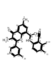 Cc1cc([C@@H](C)Nc2ccc(F)c(F)c2C#N)c2oc(-c3cncc(F)c3)c(C)c(=O)c2c1